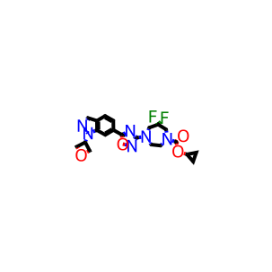 O=C(OC1CC1)N1CCN(c2noc(-c3ccc4cnn(C5COC5)c4c3)n2)CC(F)(F)C1